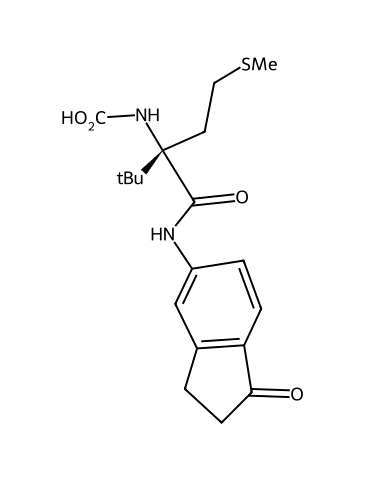 CSCC[C@@](NC(=O)O)(C(=O)Nc1ccc2c(c1)CCC2=O)C(C)(C)C